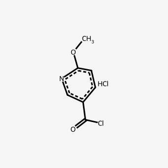 COc1ccc(C(=O)Cl)cn1.Cl